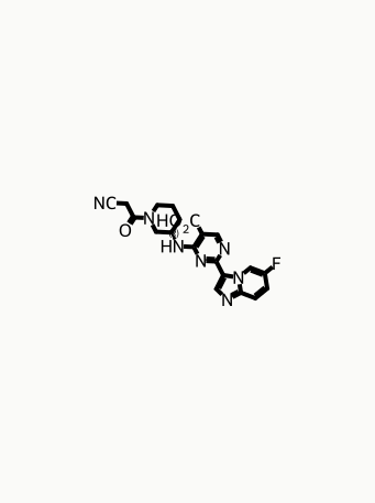 N#CCC(=O)N1CCC[C@@H](Nc2nc(-c3cnc4ccc(F)cn34)ncc2C(=O)O)C1